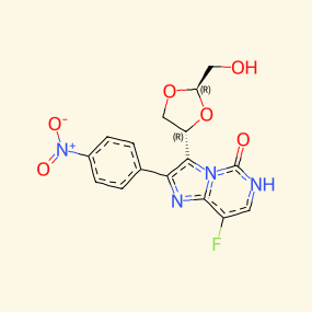 O=c1[nH]cc(F)c2nc(-c3ccc([N+](=O)[O-])cc3)c([C@@H]3CO[C@@H](CO)O3)n12